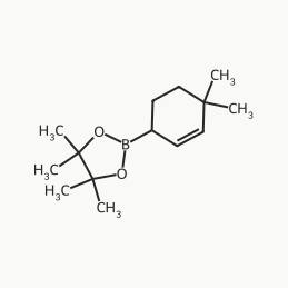 CC1(C)C=CC(B2OC(C)(C)C(C)(C)O2)CC1